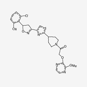 COc1nccnc1OCC(=O)N1CCC(c2nc(C3=NOC(c4c(Cl)cccc4C#N)C3)cs2)CC1